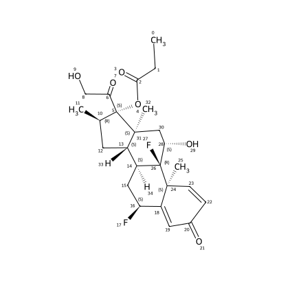 CCC(=O)O[C@@]1(C(=O)CO)[C@H](C)C[C@H]2[C@@H]3C[C@H](F)C4=CC(=O)C=C[C@]4(C)[C@@]3(F)[C@@H](O)C[C@@]21C